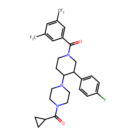 O=C(c1cc(C(F)(F)F)cc(C(F)(F)F)c1)N1CCC(N2CCN(C(=O)C3CC3)CC2)C(c2ccc(F)cc2)C1